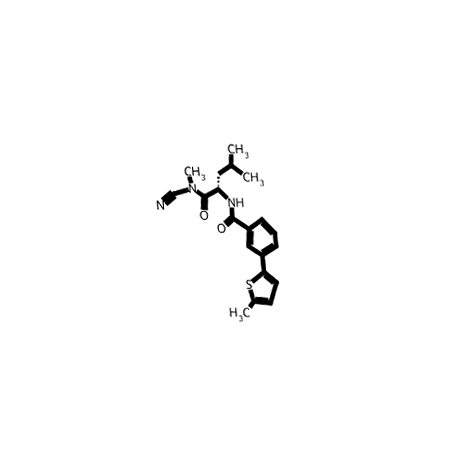 Cc1ccc(-c2cccc(C(=O)N[C@@H](CC(C)C)C(=O)N(C)C#N)c2)s1